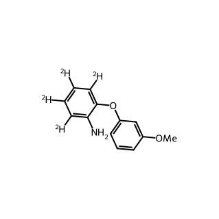 [2H]c1c([2H])c([2H])c(Oc2cccc(OC)c2)c(N)c1[2H]